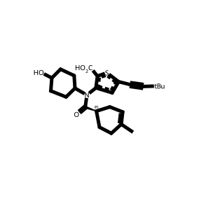 CC1=CC[C@H](C(=O)N(c2cc(C#CC(C)(C)C)sc2C(=O)O)C2CCC(O)CC2)CC1